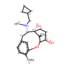 C=C1C2Oc3cc(ccc3OC)C[C@H](N(CCC)CC3CCC3)[C@@]1(O)CCC2O